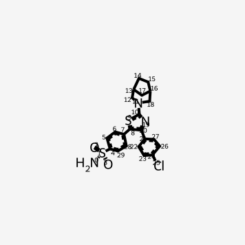 NS(=O)(=O)c1ccc(-c2sc(N3CC4CCC(C4)C3)nc2-c2ccc(Cl)cc2)cc1